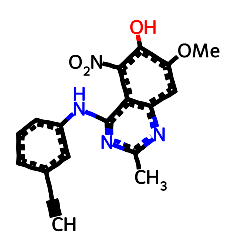 C#Cc1cccc(Nc2nc(C)nc3cc(OC)c(O)c([N+](=O)[O-])c23)c1